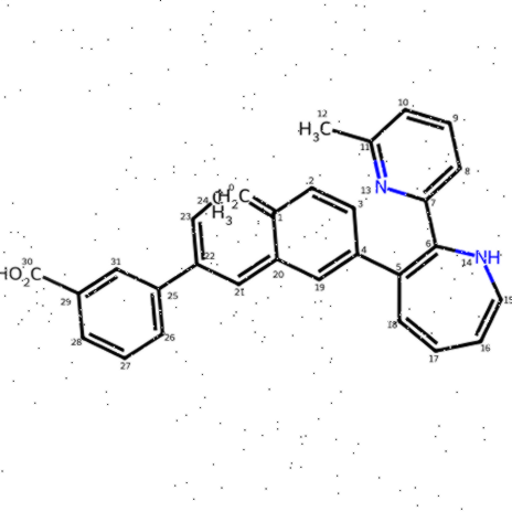 C=c1ccc(C2=C(c3cccc(C)n3)NC=CC=C2)c/c1=C/C(=C\C)c1cccc(C(=O)O)c1